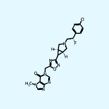 Cn1cnc2ncn(Cc3nc(C4[C@H]5CN(C[C@@H](F)c6ccc(Cl)cc6)C[C@@H]45)no3)c(=O)c21